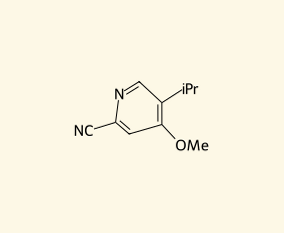 COc1cc(C#N)ncc1C(C)C